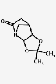 CC1(C)OC2C3CC(=O)N(C3)C2O1